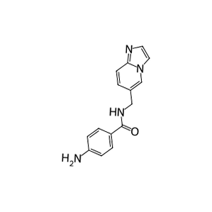 Nc1ccc(C(=O)NCc2ccc3nccn3c2)cc1